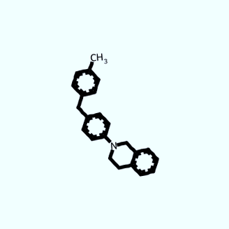 Cc1ccc(Cc2ccc(N3CCc4ccccc4C3)cc2)cc1